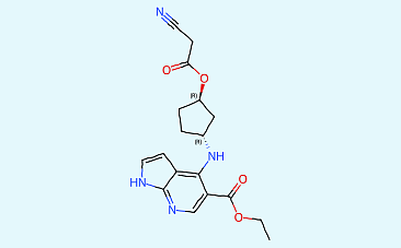 CCOC(=O)c1cnc2[nH]ccc2c1N[C@@H]1CC[C@@H](OC(=O)CC#N)C1